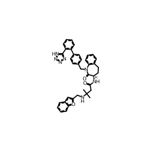 CC(C)(CC(=O)N[C@@H]1CCc2ccccc2N(Cc2ccc(-c3ccccc3-c3nnn[nH]3)cc2)C1=O)NCc1cc2ccccc2o1